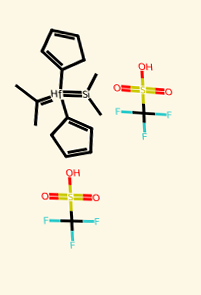 C[C](C)=[Hf]([C]1=CC=CC1)([C]1=CC=CC1)=[Si](C)C.O=S(=O)(O)C(F)(F)F.O=S(=O)(O)C(F)(F)F